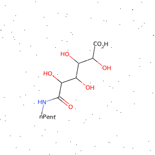 CCCCCNC(=O)C(O)C(O)C(O)C(O)C(=O)O